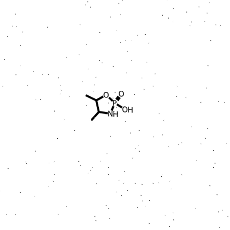 CC1NP(=O)(O)OC1C